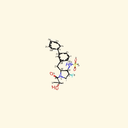 CC(C)(O)C(=O)N1C[C@H](F)[C@H](NS(C)(=O)=O)[C@@H]1Cc1cccc(-c2ccccc2)c1